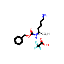 NCCCC[C@H](NC(=O)OCc1ccccc1)C(=O)O.O=C(O)C(F)(F)F